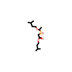 CC(C)CCOC(=O)C[PH](=O)C(C)OCCC(C)C